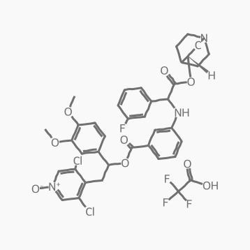 COc1ccc(C(Cc2c(Cl)c[n+]([O-])cc2Cl)OC(=O)c2cccc(NC(C(=O)O[C@H]3CN4CCC3CC4)c3cccc(F)c3)c2)cc1OC.O=C(O)C(F)(F)F